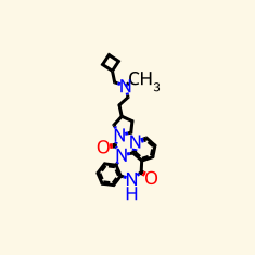 CN(CCC1CCN(C(=O)N2c3ccccc3NC(=O)c3cccnc32)C1)CC1CCC1